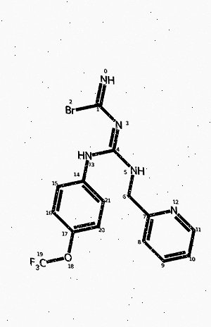 N=C(Br)/N=C(/NCc1ccccn1)Nc1ccc(OC(F)(F)F)cc1